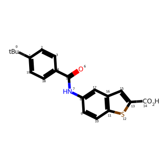 CC(C)(C)c1ccc(C(=O)Nc2ccc3sc(C(=O)O)cc3c2)cc1